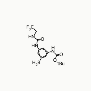 Bc1cc(NC(=O)NCC(F)(F)F)cc(NC(=O)OC(C)(C)C)c1